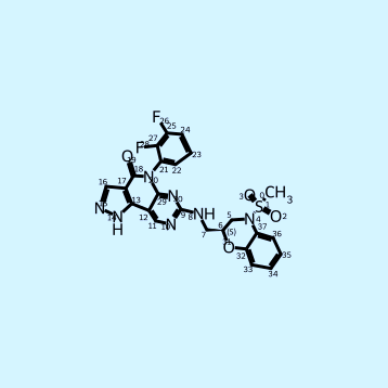 CS(=O)(=O)N1C[C@H](CNc2ncc3c4[nH]ncc4c(=O)n(-c4cccc(F)c4F)c3n2)Oc2ccccc21